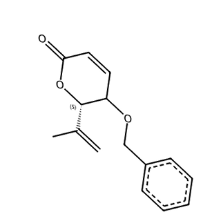 C=C(C)[C@@H]1OC(=O)C=CC1OCc1ccccc1